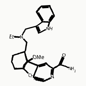 CCN(Cc1c[nH]c2ccccc12)CC1CCCC(C)C1(OC)c1ccnc(C(N)=O)c1